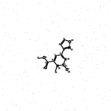 COC(=O)C1=CC(c2ccon2)=N[S+]([O-])N1C